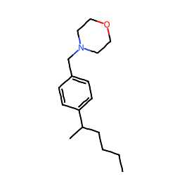 CCCCC(C)c1ccc(CN2CCOCC2)cc1